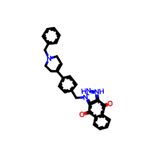 O=c1c2[nH][nH]n(Cc3ccc(C4=CCN(Cc5ccccc5)CC4)cc3)c=2c(=O)c2ccccc12